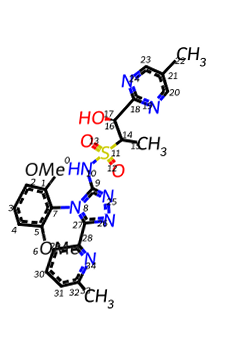 COc1cccc(OC)c1-n1c(NS(=O)(=O)C(C)[C@@H](O)c2ncc(C)cn2)nnc1-c1cccc(C)n1